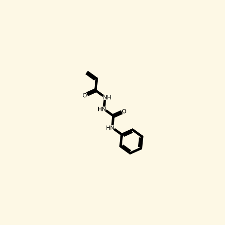 C=CC(=O)NNC(=O)Nc1ccccc1